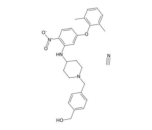 C#N.Cc1cccc(C)c1Oc1ccc([N+](=O)[O-])c(NC2CCN(Cc3ccc(CO)cc3)CC2)c1